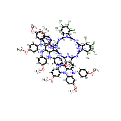 COc1ccc(Nc2cc3c(c(Nc4ccc(OC)cc4)c2Nc2ccc(OC)cc2)-c2nc-3nc3[nH]c(nc4nc(nc5c6c(Nc7ccc(OC)cc7)c(Nc7ccc(OC)cc7)c(Nc7ccc(OC)cc7)c(Nc7ccc(OC)cc7)c6c(n2)n5Nc2ccc(OC)cc2)-c2c(F)c(F)c(F)c(F)c2-4)c2c(F)c(F)c(F)c(F)c32)cc1